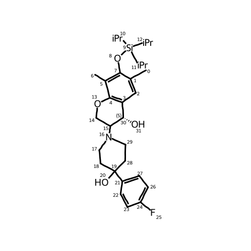 Cc1cc2c(c(C)c1O[Si](C(C)C)(C(C)C)C(C)C)OCC(N1CCC(O)(c3ccc(F)cc3)CC1)[C@H]2O